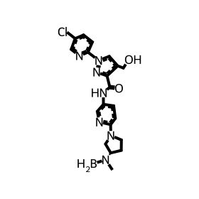 BN(C)[C@H]1CCN(c2ccc(NC(=O)c3nn(-c4ccc(Cl)cn4)cc3CO)cn2)C1